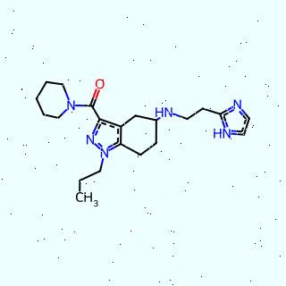 CCCn1nc(C(=O)N2CCCCC2)c2c1CCC(NCCc1ncc[nH]1)C2